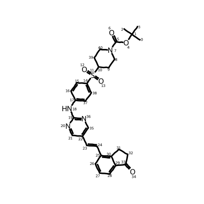 CC(C)(C)OC(=O)N1CCC(S(=O)(=O)c2ccc(Nc3ncc(/C=C/c4cccc5c4CCC5=O)cn3)cc2)CC1